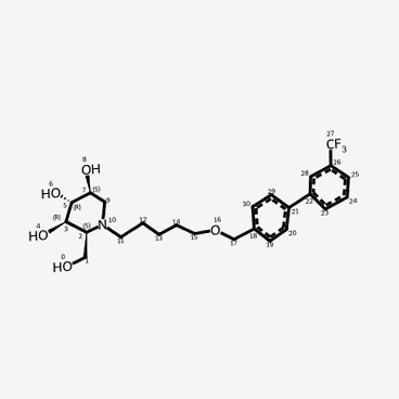 OC[C@H]1[C@@H](O)[C@H](O)[C@@H](O)CN1CCCCCOCc1ccc(-c2cccc(C(F)(F)F)c2)cc1